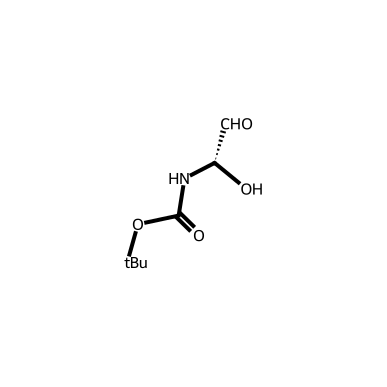 CC(C)(C)OC(=O)N[C@@H](O)C=O